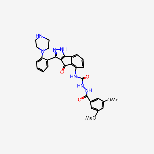 COc1cc(OC)cc(C(=O)NNC(=O)Nc2cccc3c2C(=O)c2c(-c4ccccc4N4CCNCC4)n[nH]c2-3)c1